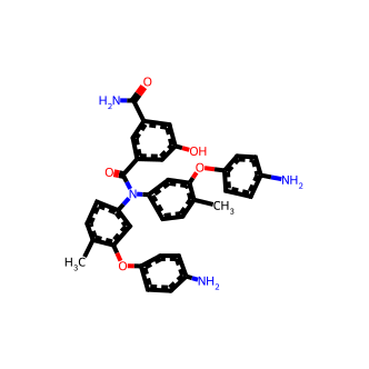 Cc1ccc(N(C(=O)c2cc(O)cc(C(N)=O)c2)c2ccc(C)c(Oc3ccc(N)cc3)c2)cc1Oc1ccc(N)cc1